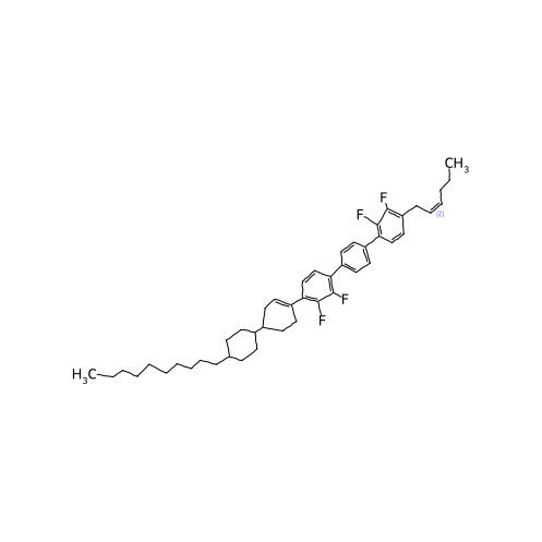 CCC/C=C\Cc1ccc(-c2ccc(-c3ccc(C4=CCC(C5CCC(CCCCCCCCCC)CC5)CC4)c(F)c3F)cc2)c(F)c1F